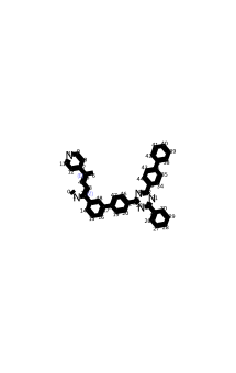 C=N/C(=C\C=C(/C)c1ccncc1)c1cccc(-c2ccc(-c3nc(-c4ccccc4)nc(-c4ccc(-c5ccccc5)cc4)n3)cc2)c1